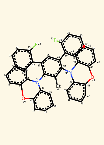 CCc1c(N2c3ccccc3Oc3ccccc32)c(-c2ccccc2F)cc(-c2ccccc2F)c1N1c2ccccc2Oc2ccccc21